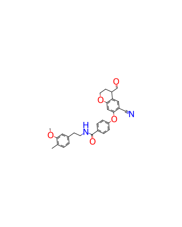 COc1cc(CCNC(=O)c2ccc(Oc3cc4c(cc3C#N)C(C=O)CCO4)cc2)ccc1C